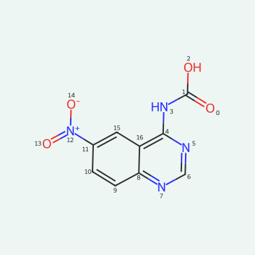 O=C(O)Nc1ncnc2ccc([N+](=O)[O-])cc12